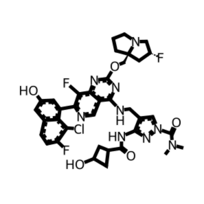 CN(C)C(=O)n1cc(CNc2nc(OC[C@@]34CCCN3C[C@H](F)C4)nc3c(F)c(-c4cc(O)cc5ccc(F)c(Cl)c45)ncc23)c(NC(=O)C2CC(O)C2)n1